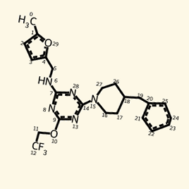 Cc1ccc(CNc2nc(OCC(F)(F)F)nc(N3CCC(Cc4ccccc4)CC3)n2)o1